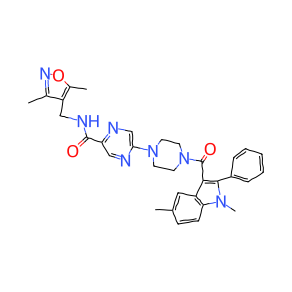 Cc1ccc2c(c1)c(C(=O)N1CCN(c3cnc(C(=O)NCc4c(C)noc4C)cn3)CC1)c(-c1ccccc1)n2C